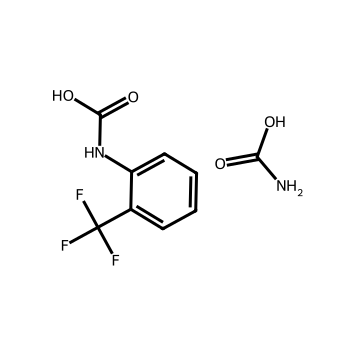 NC(=O)O.O=C(O)Nc1ccccc1C(F)(F)F